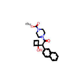 CC(C)(C)OC(=O)N1CCN(C(=O)C(c2ccc3ccccc3c2)C2(O)CCC2)CC1